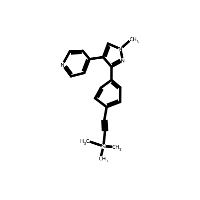 Cn1cc(-c2ccncc2)c(-c2ccc(C#C[Si](C)(C)C)cc2)n1